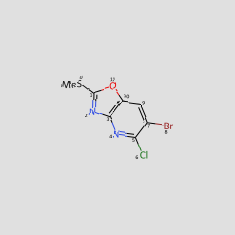 CSc1nc2nc(Cl)c(Br)cc2o1